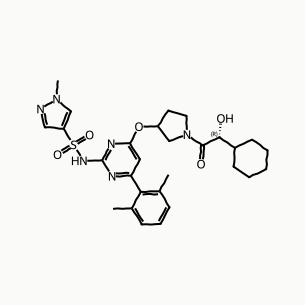 Cc1cccc(C)c1-c1cc(OC2CCN(C(=O)[C@H](O)C3CCCCC3)C2)nc(NS(=O)(=O)c2cnn(C)c2)n1